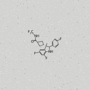 CC1([C@H]2C[C@H](C(=O)NCC(F)(F)F)C2)c2cc(F)cc(F)c2NC1c1ccc(F)cc1